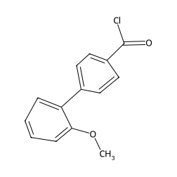 COc1ccccc1-c1ccc(C(=O)Cl)cc1